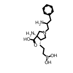 NC(Cc1ccccc1)CN1C[C@H](CCCB(O)O)[C@@](N)(C(=O)O)C1